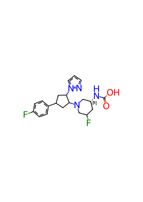 O=C(O)N[C@@H]1CC(F)CN(C2CC(c3ccc(F)cc3)CC2n2cccn2)C1